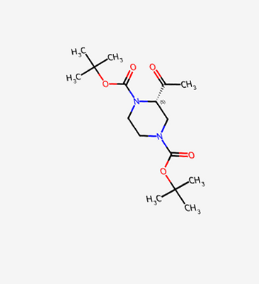 CC(=O)[C@@H]1CN(C(=O)OC(C)(C)C)CCN1C(=O)OC(C)(C)C